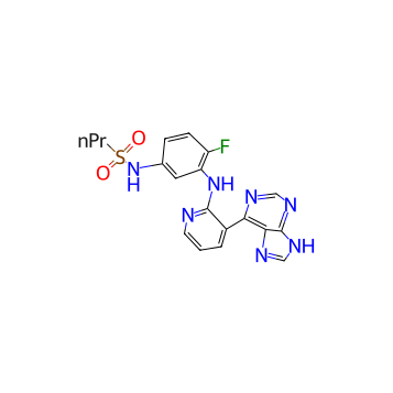 CCCS(=O)(=O)Nc1ccc(F)c(Nc2ncccc2-c2ncnc3[nH]cnc23)c1